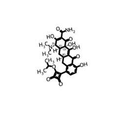 CC(C)Oc1c(-c2ccc(O)c3c2C[C@H]2C[C@H]4[C@H](N(C)C)C(O)=C(C(N)=O)C(=O)[C@@]4(O)C(O)=C2C3=O)c(=O)c1=O